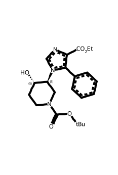 CCOC(=O)c1ncn([C@H]2CN(C(=O)OC(C)(C)C)CC[C@@H]2O)c1-c1ccccc1